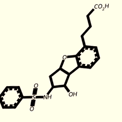 O=C(O)CCCc1cccc2c1OC1CC(NS(=O)(=O)c3ccccc3)C(O)C21